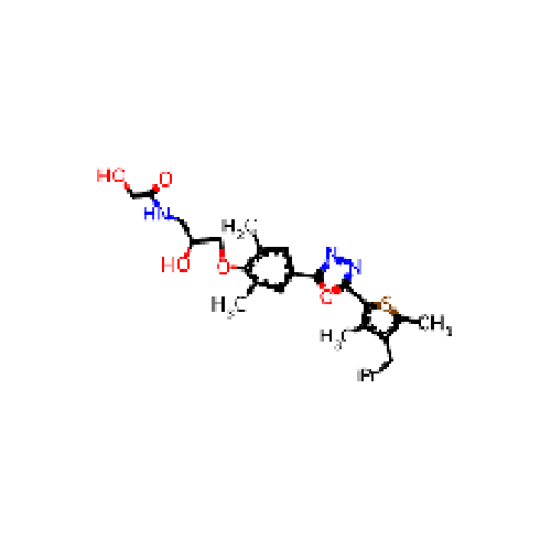 Cc1cc(-c2nnc(-c3sc(C)c(CC(C)C)c3C)o2)cc(C)c1OCC(O)CNC(=O)CO